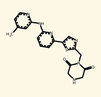 Cc1ccnc(Nc2cccc(-c3cnc(CN4C(=O)CNCC4=O)s3)n2)c1